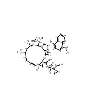 CCOc1cnc(O[C@@H]2C[C@H]3C(=O)N[C@]4(C(=O)NS(=O)(=O)C5(CF)CC5)C[C@H]4/C=C\CC[C@H](C)C[C@@H](C)[C@H](NC(=O)O)C(=O)N3C2)c2ccccc12